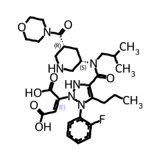 CCCC1=C(C(=O)N(CC(C)C)[C@@H]2CNC[C@H](C(=O)N3CCOCC3)C2)NN(/C(=C/C(=O)O)C(=O)O)N1c1ccccc1F